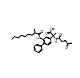 CCCCCCCC(C)C(=O)Nc1cc(C(C)(NC(=O)CCC(C)=O)C(=O)O)ccc1-c1ccccc1